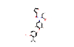 CCC(C(=O)O)N(C(=O)c1ccco1)c1cc(Br)c(Oc2ccc(OC)c(C(C)C)c2)c(Br)c1